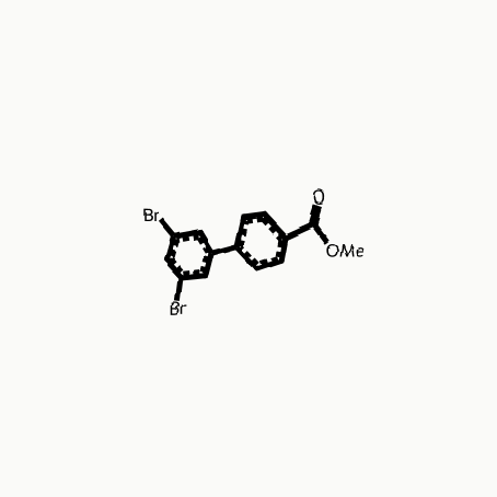 COC(=O)c1ccc(-c2cc(Br)cc(Br)c2)cc1